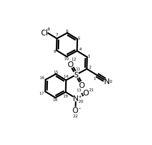 N#CC(=Cc1ccc(Cl)cc1)S(=O)(=O)c1ccccc1[N+](=O)[O-]